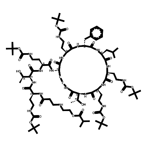 CC(C)C[C@@H]1NC(=O)[C@@H](Cc2ccccc2)NC(=O)[C@H](CCNC(=O)OC(C)(C)C)NC(=O)[C@@H](NC(=O)[C@H](CCNC(=O)OC(C)(C)C)NC(=O)[C@@H](NC(=O)[C@H](CCNC(=O)OC(C)(C)C)NC(=O)CCNCCOC(=O)C(C)C)[C@@H](C)O)CCNC(=O)[C@H]([C@@H](C)O)NC(=O)[C@H](CCNC(=O)OC(C)(C)C)NC(=O)[C@H](CCNC(=O)OC(C)(C)C)NC1=O